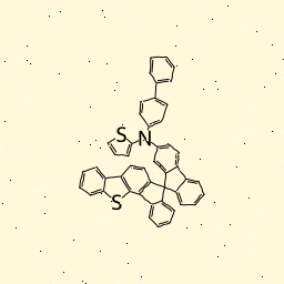 c1ccc(-c2ccc(N(c3ccc4c(c3)C3(c5ccccc5-4)c4ccccc4-c4c3ccc3c4sc4ccccc43)c3cccs3)cc2)cc1